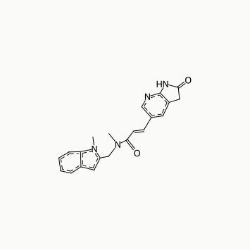 CN(Cc1cc2ccccc2n1C)C(=O)C=Cc1cnc2c(c1)CC(=O)N2